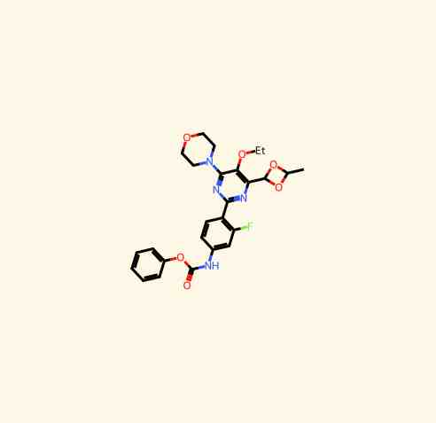 CCOc1c(C2OC(C)O2)nc(-c2ccc(NC(=O)Oc3ccccc3)cc2F)nc1N1CCOCC1